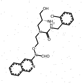 N[C@@H](CO)CN(CCON(C=O)c1cc2ccccc2cn1)C(=O)NCc1ccccc1Cl